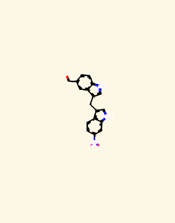 O=Cc1ccc2[nH]cc(Cc3c[nH]c4cc([N+](=O)[O-])ccc34)c2c1